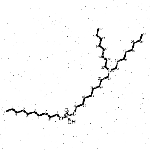 CCCCCCCCCCOP(=O)(O)OCCCCCCCCN(CCCCCCCC)CCCCCCCC